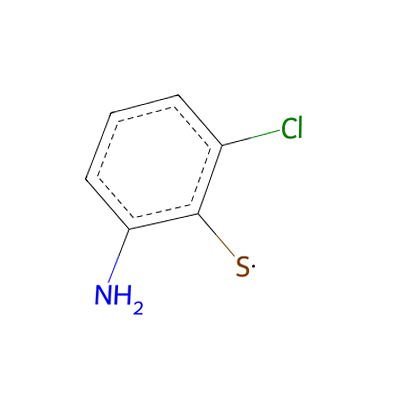 Nc1cccc(Cl)c1[S]